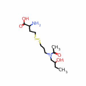 CCC(O)CN(CCCSSCCC(N)C(=O)O)C(C)=O